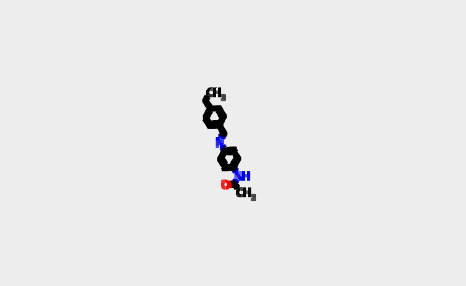 CCc1ccc(/C=N/c2ccc(NC(C)=O)cc2)cc1